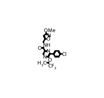 COc1cc(CNC(=O)c2cnc(OC(C)C(F)(F)F)c(-c3ccc(Cl)cc3)n2)on1